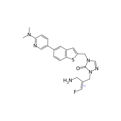 CN(C)c1ccc(-c2ccc3sc(Cn4cnn(C/C(=C/F)CN)c4=O)cc3c2)cn1